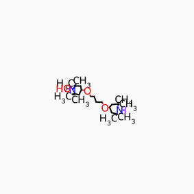 CC1(C)CC(OCCCCOC2CC(C)(C)N(I)C(C)(C)C2)CC(C)(C)N1O